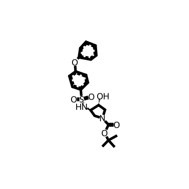 CC(C)(C)OC(=O)N1C[C@@H](O)[C@H](NS(=O)(=O)c2ccc(Oc3ccccc3)cc2)C1